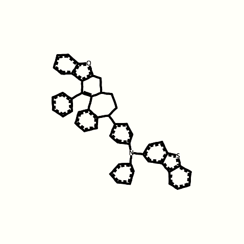 c1ccc(C2=C3c4ccccc4C(c4ccc(N(c5ccccc5)c5ccc6sc7ccccc7c6c5)cc4)CCC3Cc3oc4ccccc4c32)cc1